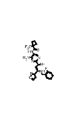 N=C(/C=C(\NCc1ccccc1F)c1ccon1)c1ncc(NC(=O)C2(C(F)(F)F)CCC2)c(N)n1